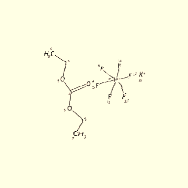 CCOC(=O)OCC.F[P-](F)(F)(F)(F)F.[K+]